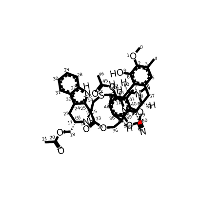 COc1c(C)cc2c(c1O)[C@@H]1[C@@H]3[C@@H]4SC[C@]5(N[C@H](COC(C)=O)Cc6c5[nH]c5ccccc65)C(=O)OC[C@@H](c5c6c(c(C)c(OC(C)=O)c54)OCO6)N3[C@@H](C#N)[C@H](C2)N1C